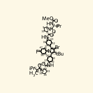 COC(=O)N[C@H](C(=O)N1CCC[C@H]1C(=O)Nc1ccc(-c2c(Br)c(C(C)(C)C)c(-c3ccc(NC(=O)[C@@H]4CCCN4C(=O)[C@@H](C)C(C)C)cc3)n2-c2ccc(F)cc2)cc1)C(C)C